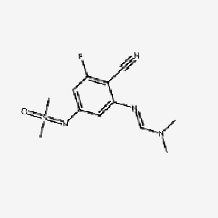 CN(C)C=Nc1cc(N=S(C)(C)=O)cc(F)c1C#N